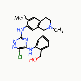 COc1cc2c(cc1Nc1nnc(Cl)c(Nc3ccccc3CO)n1)CN(C)CC2